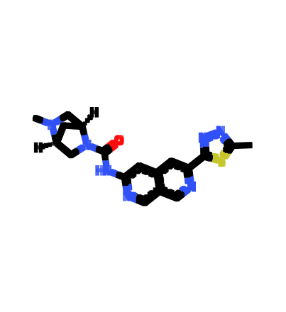 Cc1nnc(-c2cc3cc(NC(=O)N4C[C@@H]5C[C@H]4CN5C)ncc3cn2)s1